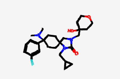 CN(C)[C@]1(c2cccc(F)c2)CC[C@@]2(CC1)CN(CC1(O)CCOCC1)C(=O)N2CC1CC1